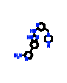 Nc1cc(-c2ccc3nc(Nc4cc(CN5CCNCC5)ccn4)[nH]c3c2)ccn1